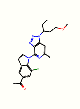 CCC(CCOC)n1nnc2c(N3CCc4cc(C(C)=O)cc(Cl)c43)nc(C)cc21